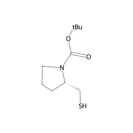 CC(C)(C)OC(=O)N1CCC[C@H]1CS